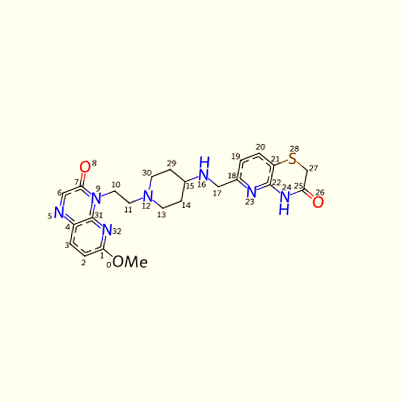 COc1ccc2ncc(=O)n(CCN3CCC(NCc4ccc5c(n4)NC(=O)CS5)CC3)c2n1